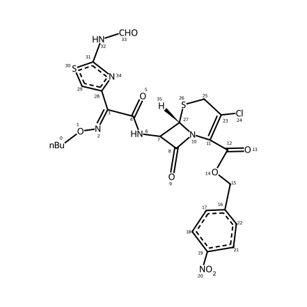 CCCCON=C(C(=O)NC1C(=O)N2C(C(=O)OCc3ccc([N+](=O)[O-])cc3)=C(Cl)CS[C@@H]12)c1csc(NC=O)n1